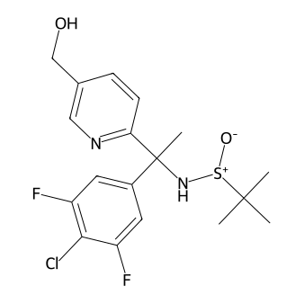 CC(N[S+]([O-])C(C)(C)C)(c1cc(F)c(Cl)c(F)c1)c1ccc(CO)cn1